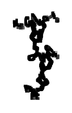 C=C1C=CC(N2CC(CN(CC)CC)C2)=CN1C(=O)/C=C/c1cc2c(C)nc(C)cn2n1